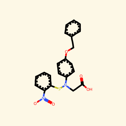 O=C(O)CN(Sc1ccccc1[N+](=O)[O-])c1ccc(OCc2ccccc2)cc1